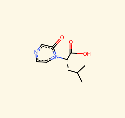 CC(C)C[C@@H](C(=O)O)n1ccncc1=O